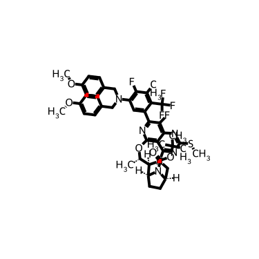 COc1ccc(CN(Cc2ccc(OC)cc2)c2cc(-c3nc4c5c(nc(SC)nc5c3F)N3C[C@H]5CC[C@@H]([C@H]3[C@H](C)O4)N5C(=O)OC(C)(C)C)c(C(F)(F)F)c(C)c2F)cc1